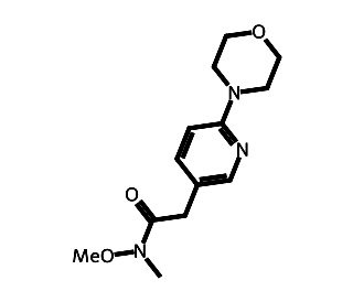 CON(C)C(=O)Cc1ccc(N2CCOCC2)nc1